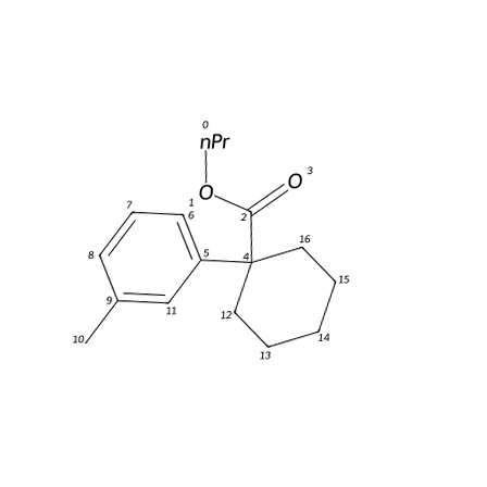 CCCOC(=O)C1(c2cccc(C)c2)CCCCC1